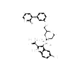 NC(=O)c1[nH]c2ccc(Cl)cc2c1S(=O)(=O)N1CCOC(COc2cccc(-c3cccnc3F)c2)C1